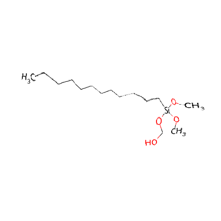 CCCCCCCCCCCC[Si](OC)(OC)OCO